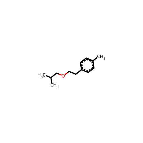 Cc1ccc(CCOCC(C)C)cc1